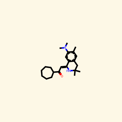 Cc1cc2c(cc1N(C)C)C(=CC(=O)C1CCCCCC1)NC(C)(C)C2